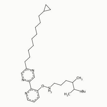 CCCCC(C)C(C)CCC[SiH2]Oc1cccnc1-c1cnc(CCCCCCCCCC2CC2)cn1